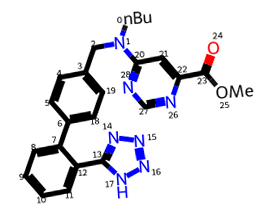 CCCCN(Cc1ccc(-c2ccccc2-c2nnn[nH]2)cc1)c1cc(C(=O)OC)ncn1